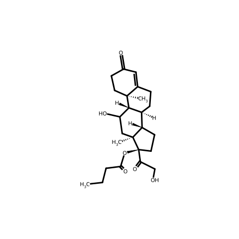 CCCC(=O)O[C@]1(C(=O)CO)CC[C@H]2[C@@H]3CCC4=CC(=O)CC[C@]4(C)[C@H]3C(O)C[C@@]21C